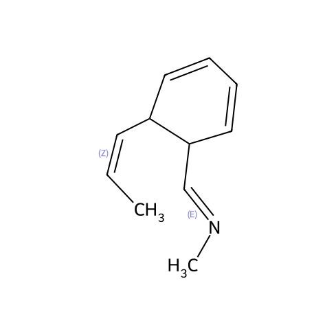 C/C=C\C1C=CC=CC1/C=N/C